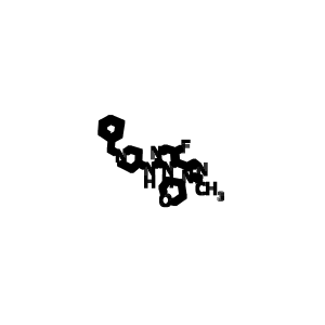 Cc1ncc(C2=C(F)C=NC(NC3CCN(Cc4ccccc4)CC3)N2)n1C1CCOCC1